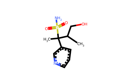 CC(CO)C(C)(c1cccnc1)S(N)(=O)=O